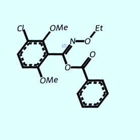 CCO/N=C(\OC(=O)c1ccccc1)c1c(OC)ccc(Cl)c1OC